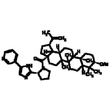 C=C(C)[C@@H]1CC[C@]2(C(=O)N3CCC[C@@H]3c3ncc(-c4cccnc4)[nH]3)CC[C@]3(C)[C@H](CC[C@@H]4[C@@]5(C)CC[C@H](OC(C)=O)C(C)(C)[C@@H]5CC[C@]43C)[C@@H]12